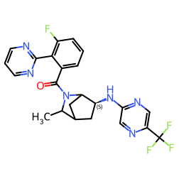 CC1C2CC([C@@H](Nc3cnc(C(F)(F)F)cn3)C2)N1C(=O)c1cccc(F)c1-c1ncccn1